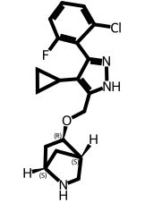 Fc1cccc(Cl)c1-c1n[nH]c(CO[C@@H]2C[C@@H]3C[C@H]2CN3)c1C1CC1